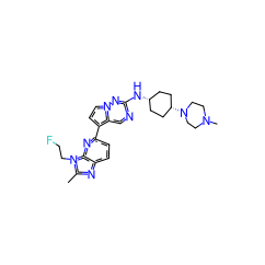 Cc1nc2ccc(-c3ccn4nc(N[C@H]5CC[C@@H](N6CCN(C)CC6)CC5)ncc34)nc2n1CCF